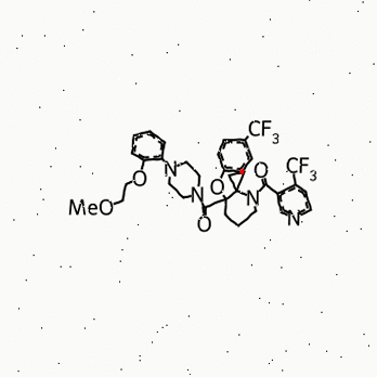 COCCOc1ccccc1N1CCN(C(=O)C2(Oc3ccc(C(F)(F)F)cc3)CCCN(C(=O)c3cnccc3C(F)(F)F)C23CC3)CC1